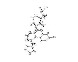 Fc1cccc(-c2nn3c(NC4CC4)cccc3c2-c2ccnc(NC3CCCC3)n2)c1